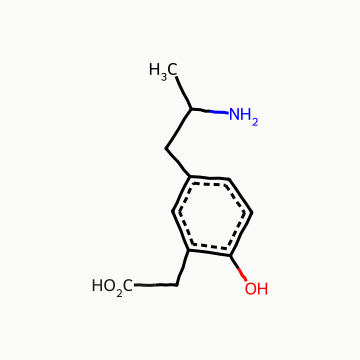 CC(N)Cc1ccc(O)c(CC(=O)O)c1